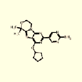 CC1(C)OCCn2c1nc1c(OC3CCCC3)nc(-c3cnc(N)nc3)nc12